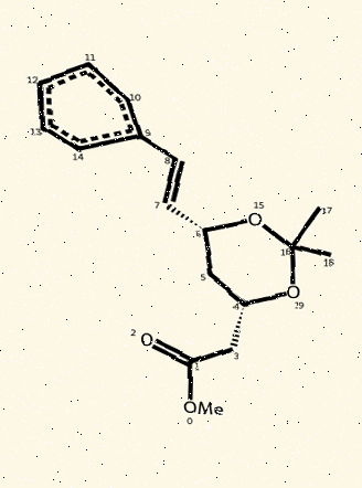 COC(=O)C[C@@H]1C[C@H](/C=C/c2ccccc2)OC(C)(C)O1